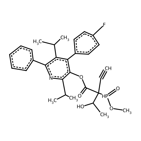 C#CC(C(=O)Oc1c(C(C)C)nc(-c2ccccc2)c(C(C)C)c1-c1ccc(F)cc1)(C(C)O)[PH](=O)OC